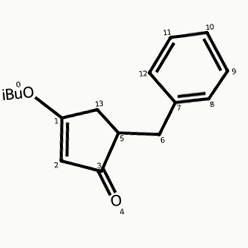 CC(C)COC1=CC(=O)C(Cc2ccccc2)C1